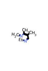 C=N/C(C)=C(C)\C=N/CC